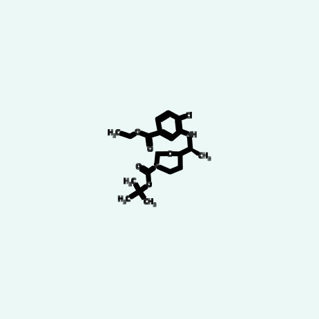 CCOC(=O)c1ccc(Cl)c(N[C@@H](C)C2CCN(C(=O)OC(C)(C)C)CC2)c1